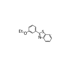 CCOc1cccc(-c2nc3ccc[c]c3s2)c1